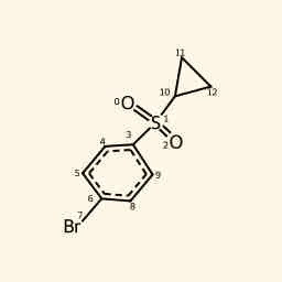 O=S(=O)(c1ccc(Br)cc1)C1CC1